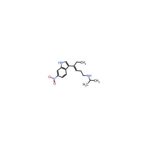 CCC(=CCCNC(C)C)c1c[nH]c2cc([N+](=O)[O-])ccc12